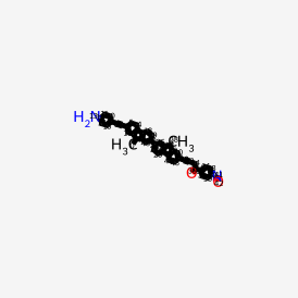 CC1C2=C(CCC(C#Cc3ccc(N)cc3)=C2)c2ccc(-c3ccc4c(c3)[C@H](C)c3cc(C#CCC(=O)c5ccc(N=O)cc5)ccc3-4)cc21